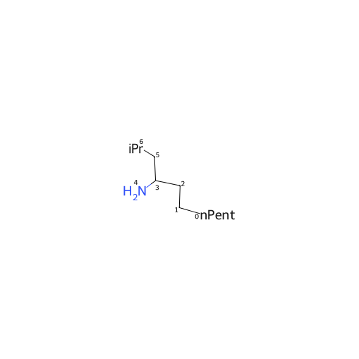 CCCCCCCC(N)CC(C)C